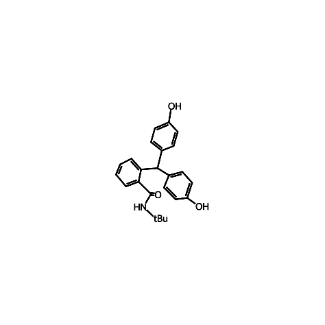 CC(C)(C)NC(=O)c1ccccc1C(c1ccc(O)cc1)c1ccc(O)cc1